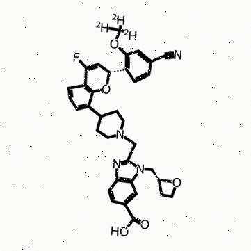 [2H]C([2H])([2H])Oc1cc(C#N)ccc1[C@H]1C=C(F)c2cccc(C3CCN(Cc4nc5ccc(C(=O)O)cc5n4C[C@@H]4CCO4)CC3)c2O1